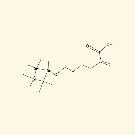 C=C(CCCCO[Si]1(C)[Si](C)(C)[Si](C)(C)[Si]1(C)C)C(=O)O